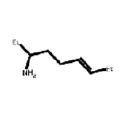 CCC=CCCC(N)CC